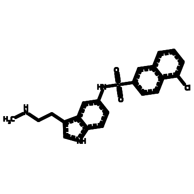 CNCCc1c[nH]c2ccc(NS(=O)(=O)c3ccc4c(Cl)cccc4c3)cc12